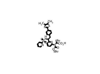 Cc1nc(-c2ccc(CC(NS(=O)(=O)c3ccccn3)c3cccc(N(C(=O)OC(C)(C)C)C(C(=O)O)C(C)(C)C)n3)cc2)sc1C